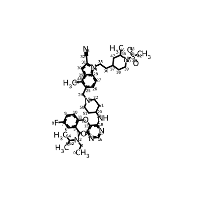 CCN(C(=O)c1cc(F)ccc1Oc1cncnc1NC1CCN(Cc2ccc3c(cc(C#N)n3CCC3CCN(S(C)(=O)=O)C(C)C3)c2C)CC1)C(C)C